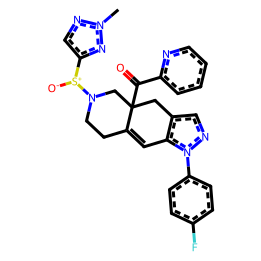 Cn1ncc([S+]([O-])N2CCC3=Cc4c(cnn4-c4ccc(F)cc4)CC3(C(=O)c3ccccn3)C2)n1